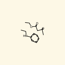 CCNc1ccccc1.CCOC(=O)CC(C)=O